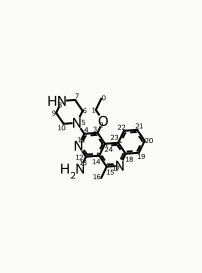 CCOc1c(N2CCNCC2)nc(N)c2c(C)nc3ccccc3c12